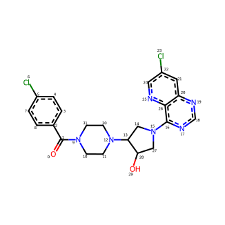 O=C(c1ccc(Cl)cc1)N1CCN(C2CN(c3ncnc4cc(Cl)cnc34)CC2O)CC1